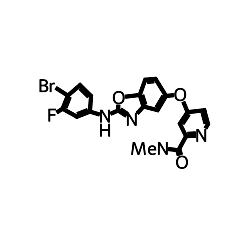 CNC(=O)c1cc(Oc2ccc3oc(Nc4ccc(Br)c(F)c4)nc3c2)ccn1